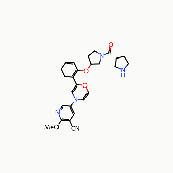 COc1ncc(N2C=COC(C3=C(O[C@H]4CCN(C(=O)[C@@H]5CCNC5)C4)C=CCC3)=C2)cc1C#N